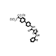 CCOC(=O)C(C(=O)OCC)c1ccc(-c2ccc(NC(=O)c3nnc(Nc4ccccc4F)o3)cc2)cc1